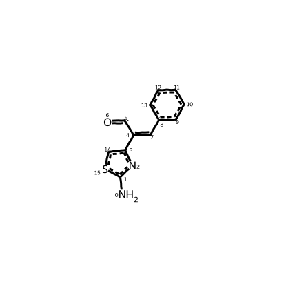 Nc1nc(C([C]=O)=Cc2ccccc2)cs1